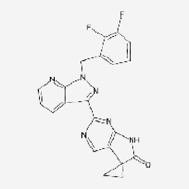 O=C1Nc2nc(-c3nn(Cc4cccc(F)c4F)c4ncccc34)ncc2C12CC2